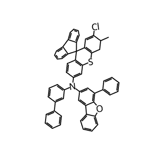 CC1CC2=C(C=C1Cl)C1(c3ccc(N(c4cccc(-c5ccccc5)c4)c4cc(-c5ccccc5)c5oc6ccccc6c5c4)cc3S2)c2ccccc2-c2ccccc21